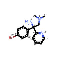 CN(C)CC(N)(c1ccc(Br)cc1)c1ccccn1